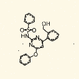 O=S(=O)(Nc1nc(Oc2ccccc2)cc(-c2ccccc2CO)n1)c1ccccc1